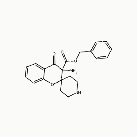 NC1(C(=O)OCc2ccccc2)C(=O)c2ccccc2OC12CCNCC2